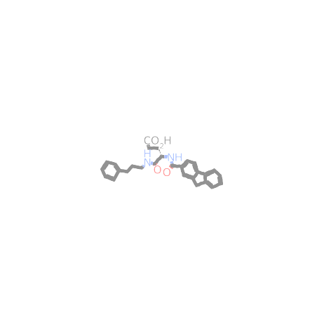 O=C(O)CC[C@H](NC(=O)c1ccc2c(c1)Cc1ccccc1-2)C(=O)NCCCc1ccccc1